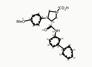 COc1ccc([C@H]2CN(C(=O)O)C[C@@H]2C(=O)Nc2cccc(-c3ccccc3)c2)cc1